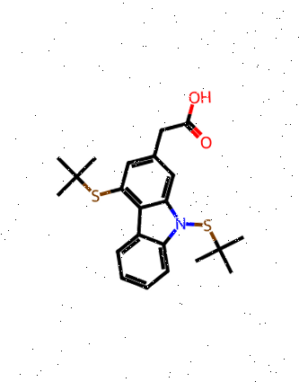 CC(C)(C)Sc1cc(CC(=O)O)cc2c1c1ccccc1n2SC(C)(C)C